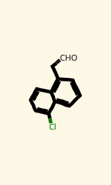 O=CCc1cccc2c(Cl)cccc12